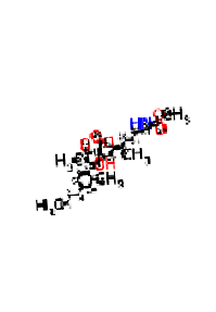 CCCCc1ccc(/C=C(\C)C(=O)c2c(O)cc(C(C)CC/C=C/NC(=O)OC)oc2=O)c(C)c1